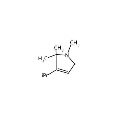 CC(C)C1=CCN(C)C1(C)C